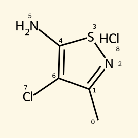 Cc1nsc(N)c1Cl.Cl